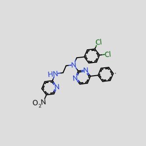 O=[N+]([O-])c1ccc(NCCN(Cc2ccc(Cl)c(Cl)c2)c2nccc(-c3cc[c]cc3)n2)nc1